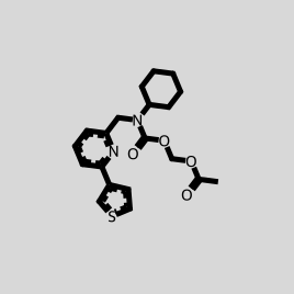 CC(=O)OCOC(=O)N(Cc1cccc(-c2ccsc2)n1)C1CCCCC1